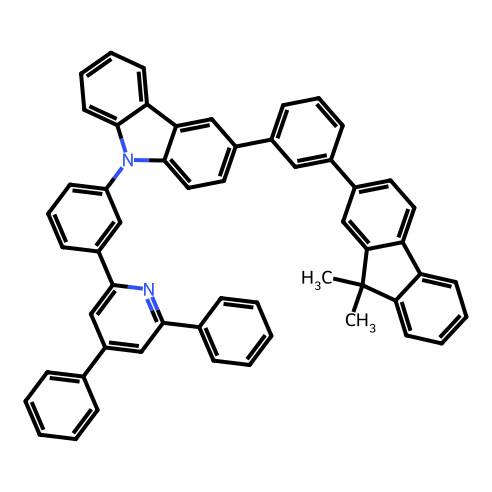 CC1(C)c2ccccc2-c2ccc(-c3cccc(-c4ccc5c(c4)c4ccccc4n5-c4cccc(-c5cc(-c6ccccc6)cc(-c6ccccc6)n5)c4)c3)cc21